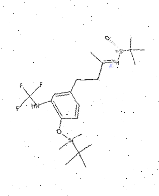 C/C(CCc1ccc(O[Si](C)(C)C(C)(C)C)c(NC(F)(F)F)c1)=N\[S@+]([O-])C(C)(C)C